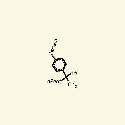 CCCCCC(C)(CCC)c1ccc(N=C=S)cc1